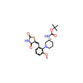 COc1cccc(C=C2SC(=O)NC2=O)c1N1CCC[C@@H](NC(=O)OC(C)(C)C)C1